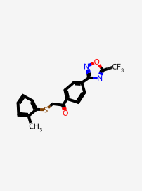 Cc1ccccc1SCC(=O)c1ccc(-c2noc(C(F)(F)F)n2)cc1